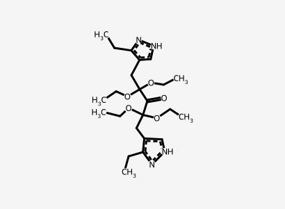 CCOC(Cc1c[nH]nc1CC)(OCC)C(=O)C(Cc1c[nH]nc1CC)(OCC)OCC